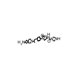 CC(Cc1ccc(-n2ccc(NC(=O)N3CCNCC3)nc2=O)cc1)N1CCC2(CC1)CC(N)C2